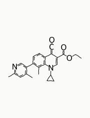 CCOC(=O)C1=CN(C2CC2)c2c(ccc(-c3cnc(C)cc3C)c2C)C1=C=O